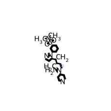 C=C(/C=C\N(N)c1ccncc1)C(=C)c1ccnn1-c1cccc(S(=O)(=O)N(C)C)c1